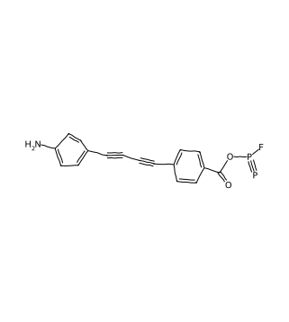 Nc1ccc(C#CC#Cc2ccc(C(=O)OP(F)#P)cc2)cc1